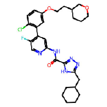 O=C(Nc1cc(-c2cc(OCCC3CCCOC3)ccc2Cl)c(F)cn1)c1nnc(CC2CCCCC2)[nH]1